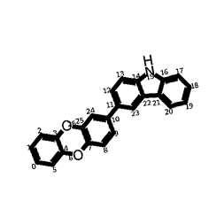 c1ccc2c(c1)Oc1ccc(-c3ccc4[nH]c5ccccc5c4c3)cc1O2